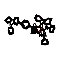 c1ccc(-c2nc(-c3ccccc3)nc(-n3c4ccccc4c4ccc5c6ccccc6n(-c6cccc7nc(-c8ccc(-c9ccc%10c%11ccccc%11n(-c%11ccccc%11)c%10c9)cc8)oc67)c5c43)n2)cc1